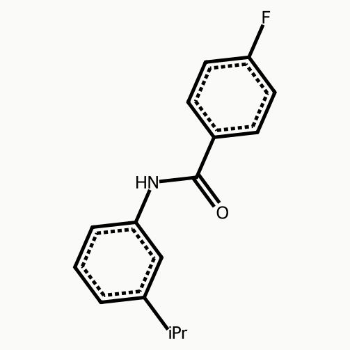 CC(C)c1cccc(NC(=O)c2ccc(F)cc2)c1